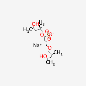 CC(O)CC(C)COCCCC(OCC(C)CC(C)O)S(=O)(=O)[O-].[Na+]